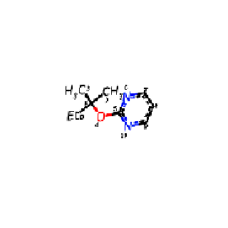 CCC(C)(C)Oc1ncccn1